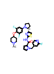 CC(=O)N1CCC(Oc2c(F)cc(N3CCC[C@@H]3c3csc(NC(=O)c4cccn4Cc4ccnc(F)c4)n3)cc2F)CC1